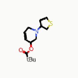 CC(C)(C)C(=O)OC1C=CCN(C2CCSC2)C1